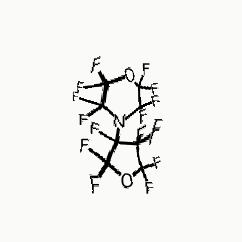 FC1(F)OC(F)(F)C(F)(F)N(C2(F)C(F)(F)OC(F)(F)C2(F)F)C1(F)F